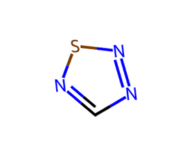 c1nnsn1